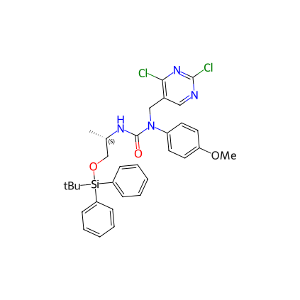 COc1ccc(N(Cc2cnc(Cl)nc2Cl)C(=O)N[C@@H](C)CO[Si](c2ccccc2)(c2ccccc2)C(C)(C)C)cc1